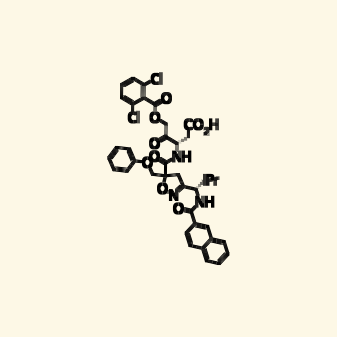 CC(C)[C@H](NC(=O)c1ccc2ccccc2c1)C1=NOC(COc2ccccc2)(C(=O)N[C@@H](CC(=O)O)C(=O)COC(=O)c2c(Cl)cccc2Cl)C1